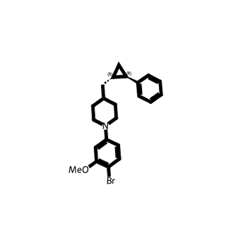 COc1cc(N2CCC(C[C@@H]3C[C@H]3c3ccccc3)CC2)ccc1Br